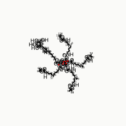 CN(CCCCNC(=O)OCC(C)(COC(=O)NCCCCN(C)CCCNC(=O)OC(C)(C)C)C(=O)OCC(C)(COC(=O)C(C)(COC(=O)NCCCCN(C)CCCNC(=O)OC(C)(C)C)COC(=O)NCCCCN(C)CCCNC(=O)OC(C)(C)C)C(=O)OCCCCCCn1cc(COC2OC(CO)[C@@H](O)C(O)C2O)nn1)CCCNC(=O)OC(C)(C)C